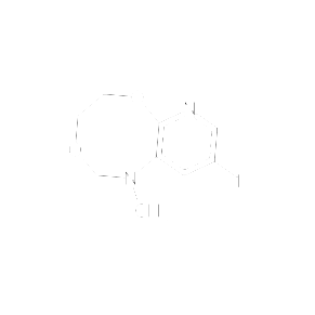 CN1COCCOc2ncc(F)cc21